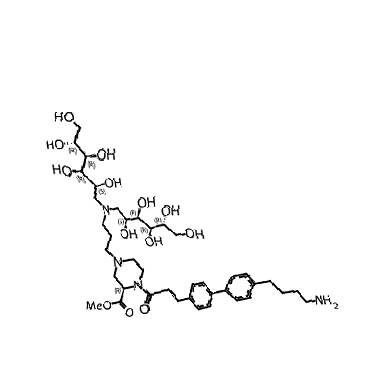 COC(=O)[C@H]1CN(CCCN(C[C@H](O)[C@@H](O)[C@H](O)[C@H](O)CO)C[C@H](O)[C@@H](O)[C@H](O)[C@H](O)CO)CCN1C(=O)CCc1ccc(-c2ccc(CCCCN)cc2)cc1